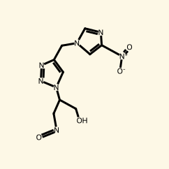 O=NCC(CO)n1cc(Cn2cnc([N+](=O)[O-])c2)nn1